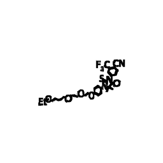 CCOCCCCOCCOCCOc1ccc(N2C(=S)N(c3ccc(C#N)c(C(F)(F)F)c3)C(=O)C2(C)C)cc1